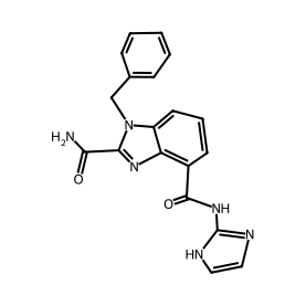 NC(=O)c1nc2c(C(=O)Nc3ncc[nH]3)cccc2n1Cc1ccccc1